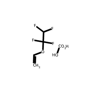 C=COC(F)(F)C(F)F.O=C(O)O